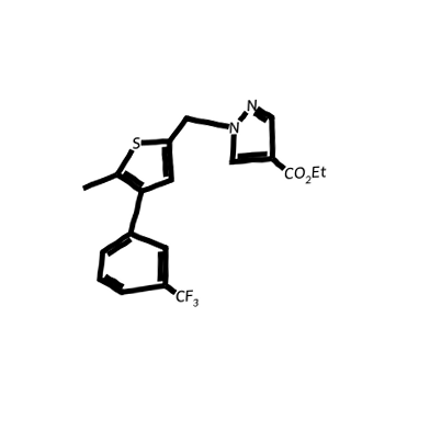 CCOC(=O)c1cnn(Cc2cc(-c3cccc(C(F)(F)F)c3)c(C)s2)c1